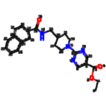 CCOC(=O)c1cnc(N2CCC(CNC(=O)c3ccc4ccccc4c3)CC2)nc1